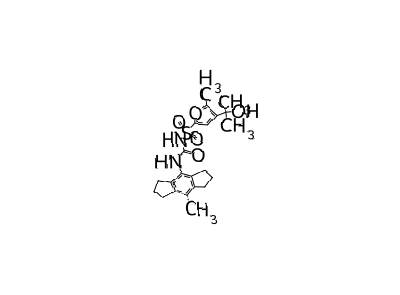 Cc1oc(S(=O)(=O)NC(=O)Nc2c3c(c(C)c4c2CCC4)CCC3)cc1C(C)(C)O